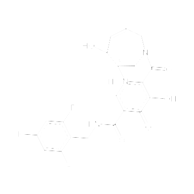 C[C@H]1C=C[C@](C)(O)[C@H]2CN1C(=O)c1c(O)c(=O)c(C(=O)NCc3c(F)cc(F)cc3F)cn12